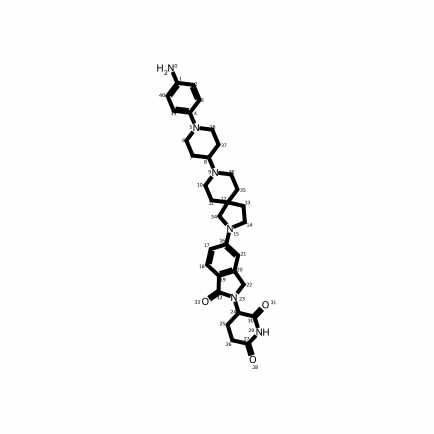 Nc1ccc(N2CCC(N3CCC4(CCN(c5ccc6c(c5)CN(C5CCC(=O)NC5=O)C6=O)C4)CC3)CC2)cc1